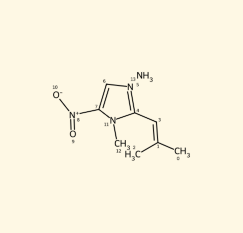 CC(C)=Cc1ncc([N+](=O)[O-])n1C.N